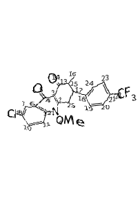 COn1c2c(c(=O)c3cc(Cl)ccc31)C(=O)C(C)C(c1ccc(C(F)(F)F)cc1)C2